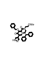 COCCN1C[C@H](C(c2ccccc2)c2ccccc2)n2cc(-c3cn[nH]c3)c(=O)c(OCc3ccccc3)c2C1=O